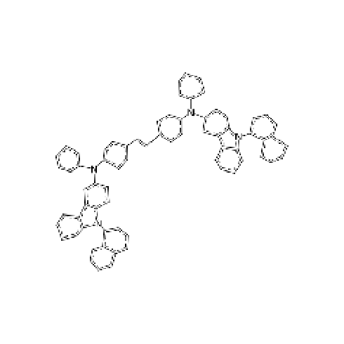 C(=C\c1ccc(N(c2ccccc2)c2ccc3c(c2)c2ccccc2n3-c2cccc3ccccc23)cc1)/c1ccc(N(c2ccccc2)c2ccc3c(c2)c2ccccc2n3-c2cccc3ccccc23)cc1